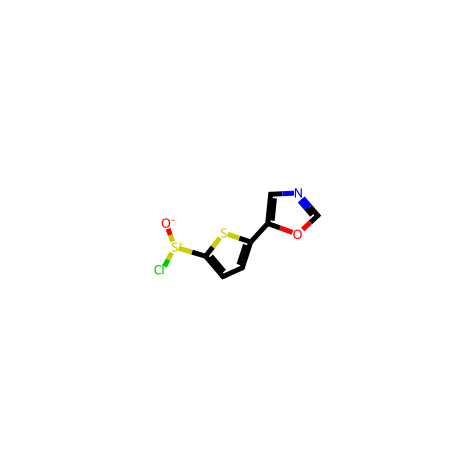 [O-][S+](Cl)c1ccc(-c2cnco2)s1